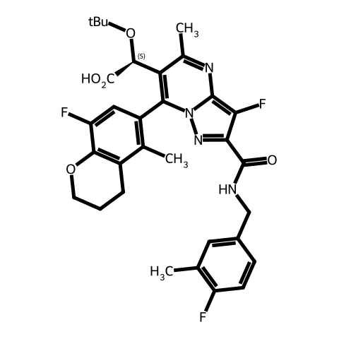 Cc1cc(CNC(=O)c2nn3c(-c4cc(F)c5c(c4C)CCCO5)c([C@H](OC(C)(C)C)C(=O)O)c(C)nc3c2F)ccc1F